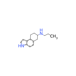 CCCNC1CCc2c(ccc3[nH]ccc23)C1